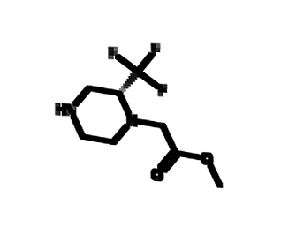 COC(=O)CN1CCNC[C@@H]1C(F)(F)F